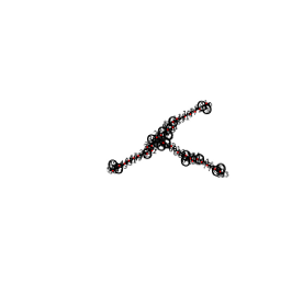 C=CC(=O)OCCCCCCCCCCCOc1ccc(C(=O)Oc2ccc(OC(=O)c3ccc(OCCCCCCCCCCCOC(=O)C=C)cc3)c(C(=O)OCCCCCCCOC(=O)c3ccc(OCCCCCCOC(=O)C=C)cc3)c2)cc1